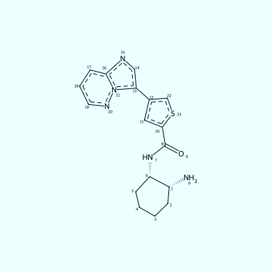 N[C@@H]1CCCC[C@@H]1NC(=O)c1cc(-c2cnc3cccnn23)cs1